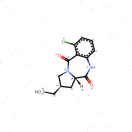 O=C1Nc2cccc(Cl)c2C(=O)N2C[C@H](CS(=O)(=O)O)C[C@@H]12